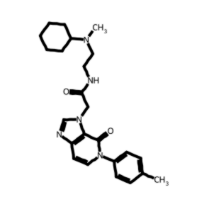 Cc1ccc(-n2ccc3ncn(CC(=O)NCCN(C)C4CCCCC4)c3c2=O)cc1